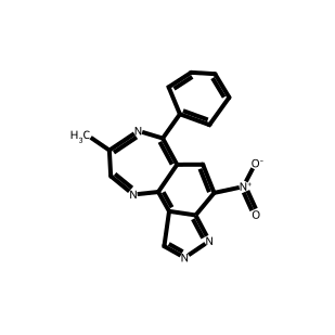 Cc1cnc2c(cc([N+](=O)[O-])c3nncc32)c(-c2ccccc2)n1